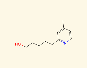 Cc1ccnc(CCCCCO)c1